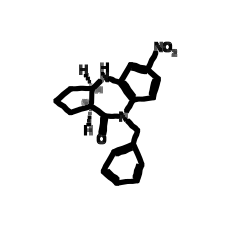 O=C1[C@H]2CCC[C@H]2Nc2cc([N+](=O)[O-])ccc2N1Cc1ccccc1